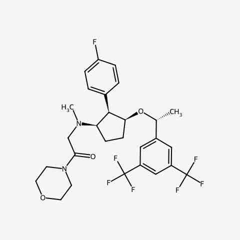 C[C@@H](O[C@H]1CC[C@@H](N(C)CC(=O)N2CCOCC2)[C@H]1c1ccc(F)cc1)c1cc(C(F)(F)F)cc(C(F)(F)F)c1